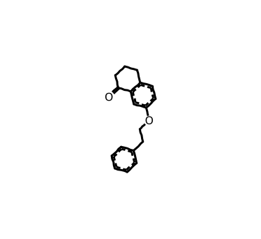 O=C1CCCc2ccc(OCCc3ccccc3)cc21